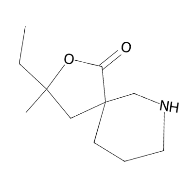 CCC1(C)CC2(CCCNC2)C(=O)O1